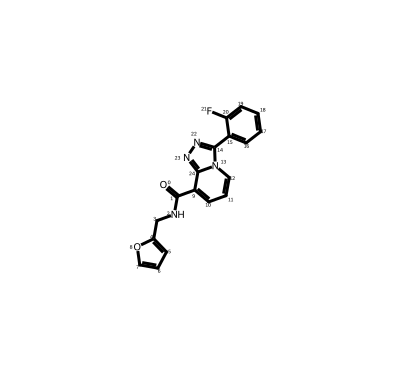 O=C(NCc1ccco1)c1cccn2c(-c3ccccc3F)nnc12